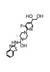 C[C@@H]1CN(c2ncc([C@H](O)CO)cc2F)CCN1C(O)Nc1nc2ccccc2s1